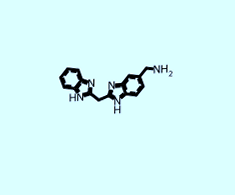 NCc1ccc2[nH]c(Cc3nc4ccccc4[nH]3)nc2c1